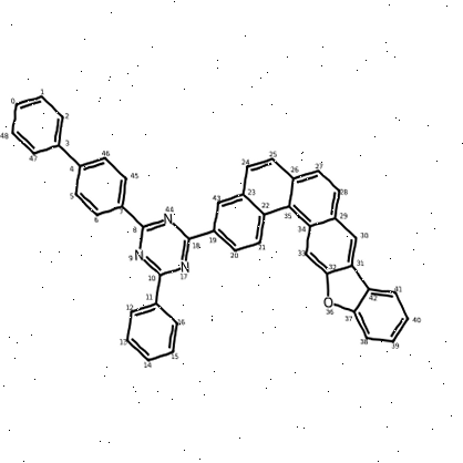 c1ccc(-c2ccc(-c3nc(-c4ccccc4)nc(-c4ccc5c(ccc6ccc7cc8c(cc7c65)oc5ccccc58)c4)n3)cc2)cc1